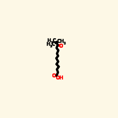 CC(C)(C)C(=O)CCCCCCCCCCC(=O)O